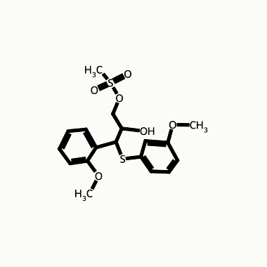 COc1cccc(SC(c2ccccc2OC)C(O)COS(C)(=O)=O)c1